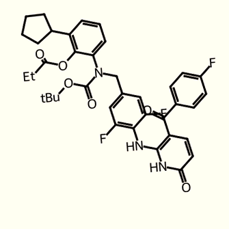 CCC(=O)Oc1c(C2CCCC2)cccc1N(Cc1cc(F)c(Nc2[nH]c(=O)ccc2C(=O)c2ccc(F)cc2)c(F)c1)C(=O)OC(C)(C)C